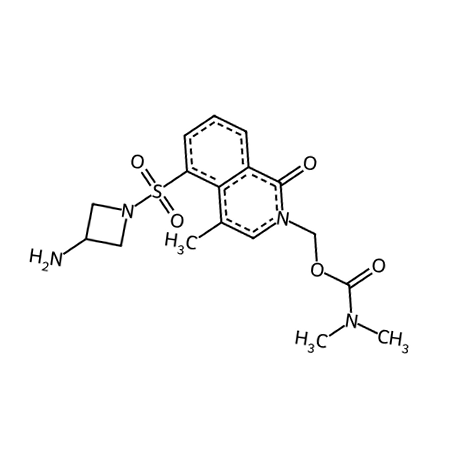 Cc1cn(COC(=O)N(C)C)c(=O)c2cccc(S(=O)(=O)N3CC(N)C3)c12